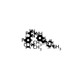 CC(C)N1CCOc2c(F)cc(-c3nc(Nc4ccc5cc(N6CCN(C)CC6)sc5c4)ncc3F)cc21